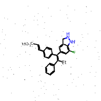 CC/C(=C(/c1ccc(/C=C/C(=O)O)cc1)c1cc(F)c2c(c1)CNN2)c1ccccc1